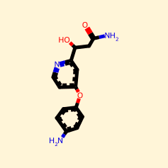 NC(=O)CC(O)c1cc(Oc2ccc(N)cc2)ccn1